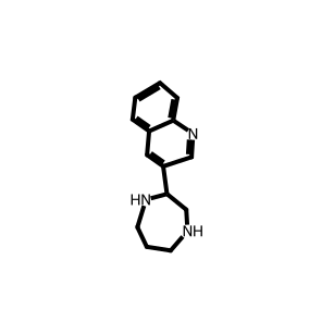 c1ccc2ncc(C3CNCCCN3)cc2c1